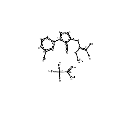 NCC(Cn1ncn(-c2ccnc(Br)c2)c1=O)=C(F)F.O=C(O)C(F)(F)F